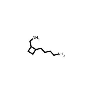 NCCCCC1CCC1CN